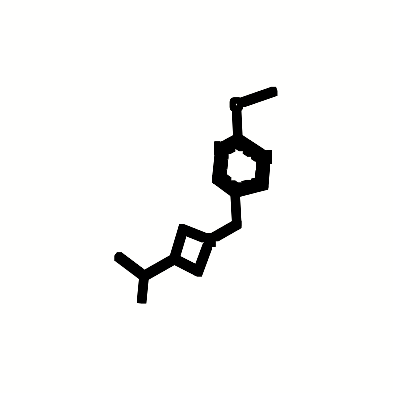 COc1ncc(CN2CC(C(C)C)C2)cn1